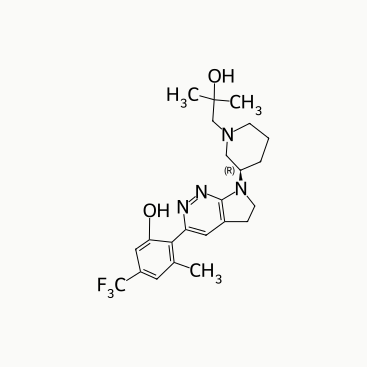 Cc1cc(C(F)(F)F)cc(O)c1-c1cc2c(nn1)N([C@@H]1CCCN(CC(C)(C)O)C1)CC2